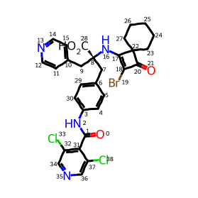 O=C(Nc1ccc(C[C@](Cc2ccncc2)(NC2=C(Br)C(=O)C23CCCCC3)C(=O)O)cc1)c1c(Cl)cncc1Cl